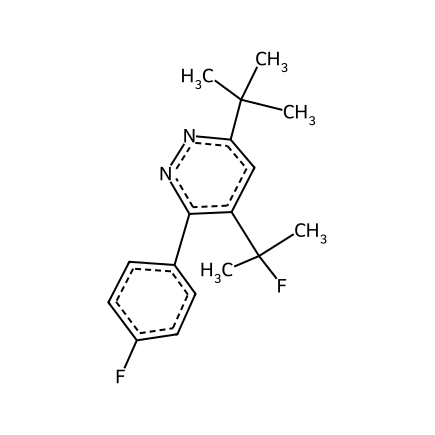 CC(C)(C)c1cc(C(C)(C)F)c(-c2ccc(F)cc2)nn1